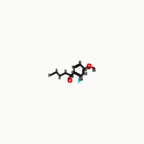 CCCCC(=O)c1ccc(OC)cc1F